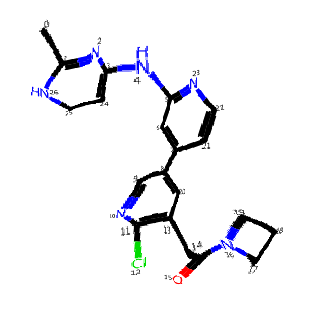 CC1=NC(Nc2cc(-c3cnc(Cl)c(C(=O)N4CCC4)c3)ccn2)=CCN1